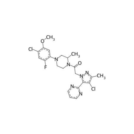 COc1cc(N2CCN(C(=O)Cn3nc(C)c(Cl)c3-c3ncccn3)C(C)C2)c(F)cc1Cl